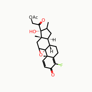 CC(=O)OCC(=O)[C@@]1(O)C(C)C[C@H]2[C@@H]3CCC4=C(F)C(=O)C=C[C@]4(C)[C@]34OC4C[C@@]21C